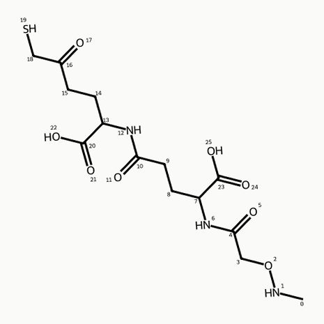 CNOCC(=O)NC(CCC(=O)NC(CCC(=O)CS)C(=O)O)C(=O)O